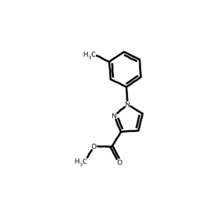 COC(=O)c1ccn(-c2cccc(C)c2)n1